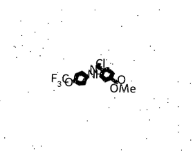 COC(=O)c1ccc(/C(Cl)=N\Nc2ccc(OC(F)(F)F)cc2)cc1